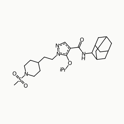 CC(C)Oc1c(C(=O)NC2C3CC4CC(C3)CC2C4)cnn1CCC1CCN(S(C)(=O)=O)CC1